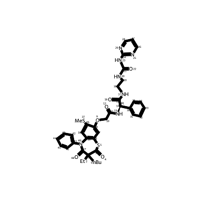 CCCCC1(CC)C(=O)Sc2cc(OCC(=O)N[C@@H](C(=O)NCCNC(=O)Nc3ncccn3)c3ccccc3)c(SC)cc2N(c2ccccc2)C1=O